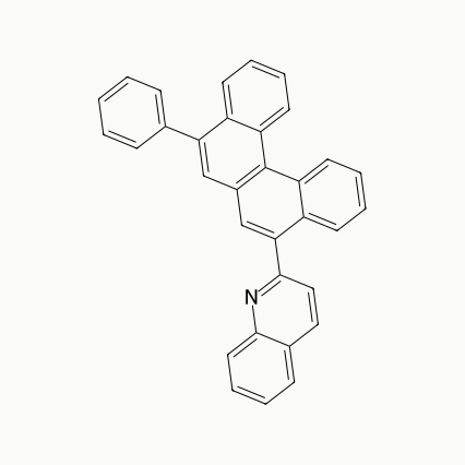 c1ccc(-c2cc3cc(-c4ccc5ccccc5n4)c4ccccc4c3c3ccccc23)cc1